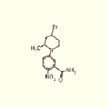 CCC1CCN(c2ccc([N+](=O)[O-])c(C(N)=O)c2)C(C)C1